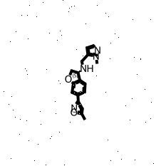 Cc1cc(-c2ccc3c(c2)OC[C@H]3NCc2ccnn2C)no1